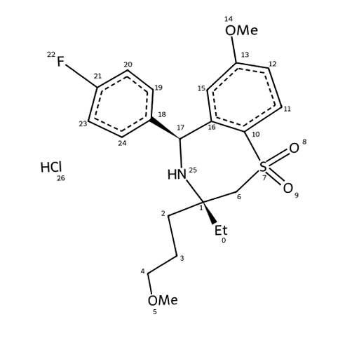 CC[C@]1(CCCOC)CS(=O)(=O)c2ccc(OC)cc2[C@H](c2ccc(F)cc2)N1.Cl